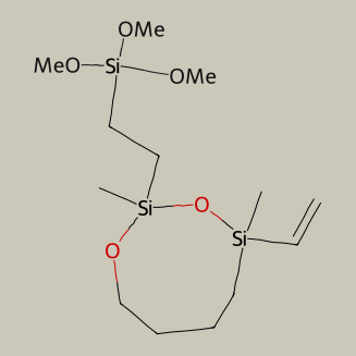 C=C[Si]1(C)CCCCO[Si](C)(CC[Si](OC)(OC)OC)O1